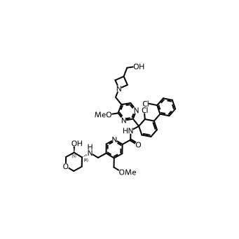 COCc1cc(C(=O)NC2(c3ncc(CN4CC(CO)C4)c(OC)n3)C=CC=C(c3ccccc3Cl)C2Cl)ncc1CN[C@@H]1CCOC[C@H]1O